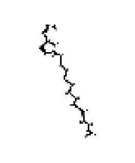 C=CN1C=CN(CCCCCCCCCCCC)C1